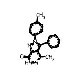 Cc1ccc(-n2nc3c(=O)[nH]nc(C)c3c2-c2ccccc2)cc1